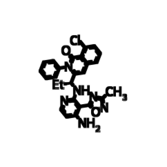 CC[C@H](Nc1nccc(N)c1-c1nc(C)no1)c1cc2cccc(Cl)c2c(=O)n1-c1ccccc1